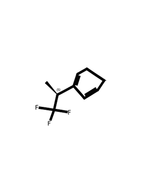 C[C@@H](C1=CC[CH]C=C1)C(F)(F)F